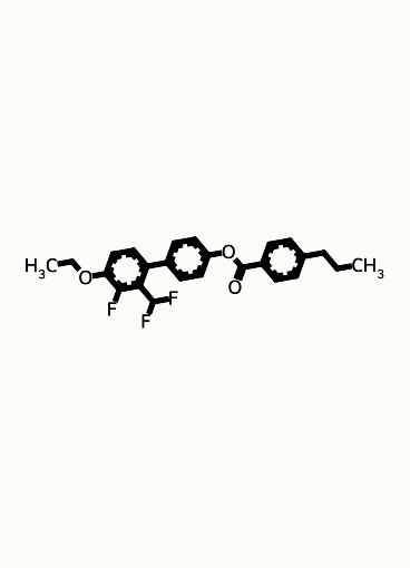 CCCc1ccc(C(=O)Oc2ccc(-c3ccc(OCC)c(F)c3C(F)F)cc2)cc1